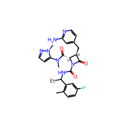 CCC(NC(=O)N1C(=O)[C@H](Cc2ccnc(N)c2)[C@H]1C(=O)N(C)c1ccnn1C)c1cc(F)ccc1C